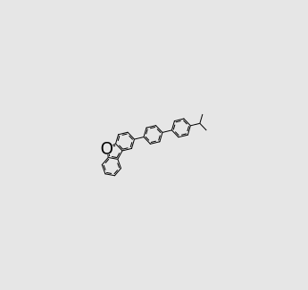 CC(C)c1ccc(-c2ccc(-c3ccc4oc5ccccc5c4c3)cc2)cc1